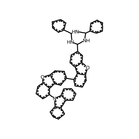 c1ccc(C2NC(c3ccccc3)NC(c3ccc4c(c3)oc3cccc(-c5ccc6oc7cccc(-n8c9ccccc9c9ccccc98)c7c6c5)c34)N2)cc1